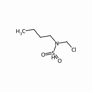 CCCCN(CCl)[SH](=O)=O